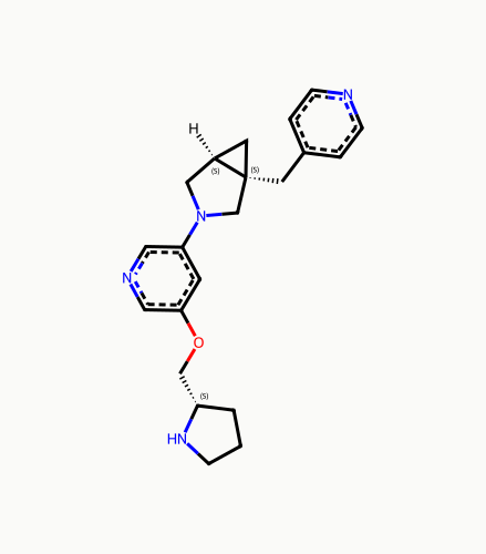 c1cc(C[C@@]23C[C@@H]2CN(c2cncc(OC[C@@H]4CCCN4)c2)C3)ccn1